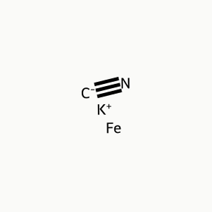 [C-]#N.[Fe].[K+]